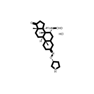 C[C@]12CCC(=NO[C@@H]3CCNC3)CC1C[C@@H](NC=O)[C@@H]1[C@@H]2CC[C@]2(C)C(=O)CC[C@@H]12.Cl